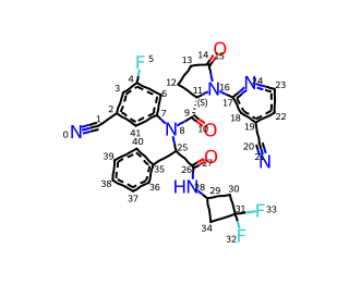 N#Cc1cc(F)cc(N(C(=O)[C@@H]2CCC(=O)N2c2cc(C#N)ccn2)C(C(=O)NC2CC(F)(F)C2)c2ccccc2)c1